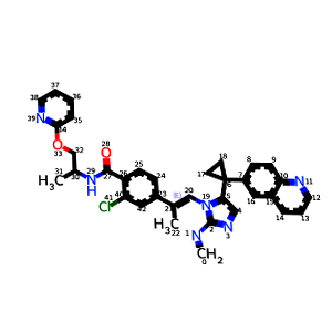 C=Nc1ncc(C2(c3ccc4ncccc4c3)CC2)n1/C=C(\C)c1ccc(C(=O)NC(C)COc2ccccn2)c(Cl)c1